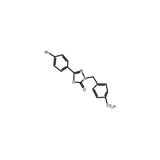 CC(C)c1ccc(-c2nn(Cc3ccc(C(=O)O)cc3)c(=O)o2)cc1